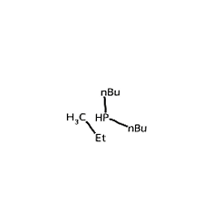 CCC.CCCCPCCCC